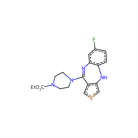 CCOC(=O)N1CCN(C2=Nc3cc(F)ccc3Nc3cscc32)CC1